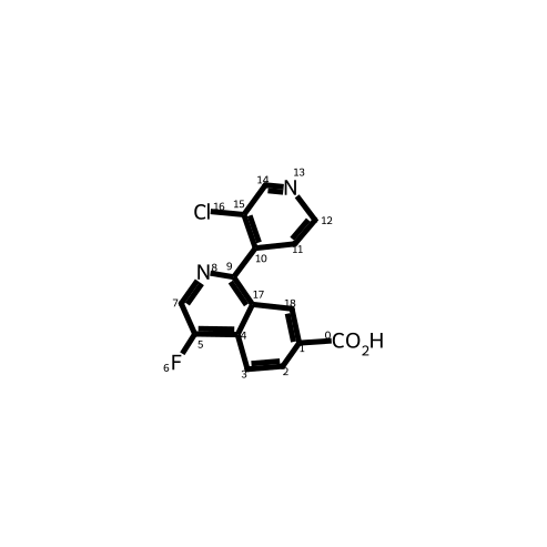 O=C(O)c1ccc2c(F)cnc(-c3ccncc3Cl)c2c1